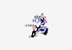 COC(=O)C1=C(CN2CCNC(CN)(C(=O)OC)C2)NC(c2nccs2)=N[C@H]1c1ccc(F)cc1Cl